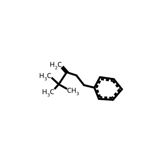 C=C(CCc1ccccc1)C(C)(C)C